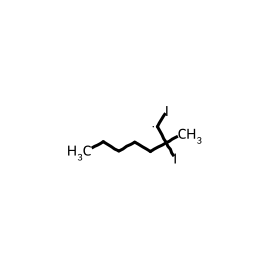 CCCCCC(C)(I)[CH]I